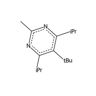 Cc1nc(C(C)C)c(C(C)(C)C)c(C(C)C)n1